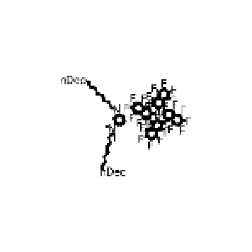 CCCCCCCCCCCCCCCCCCN(C)c1cccc([NH+](C)CCCCCCCCCCCCCCCCCC)c1.Fc1c(F)c(F)c2c(F)c([B-](c3c(F)c(F)c4c(F)c(F)c(F)c(F)c4c3F)(c3c(F)c(F)c4c(F)c(F)c(F)c(F)c4c3F)c3c(F)c(F)c4c(F)c(F)c(F)c(F)c4c3F)c(F)c(F)c2c1F